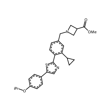 COC(=O)C1CN(Cc2ccc(-c3ncc(-c4ccc(OC(C)C)cc4)s3)c(C3CC3)c2)C1